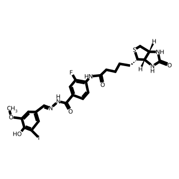 COc1cc(C=NNC(=O)c2ccc(NC(=O)CCCC[C@@H]3SC[C@@H]4NC(=O)N[C@@H]43)c(F)c2)cc(I)c1O